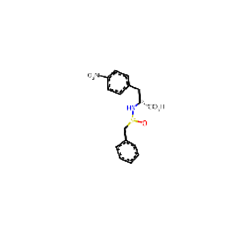 O=C(O)[C@@H](Cc1ccc([N+](=O)[O-])cc1)N[S+]([O-])Cc1ccccc1